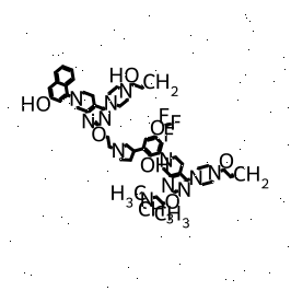 C=CC(=O)N1CCN(c2nc(O[C@H](C)CN(C)C)nc3c2CCN(c2cc(OC(F)(F)F)cc(C4CCN(CCOc5nc6c(c(N7CCN(C(O)C=C)CC7)n5)CCN(c5cc(O)cc7ccccc57)C6)C4)c2O)C3)CC1